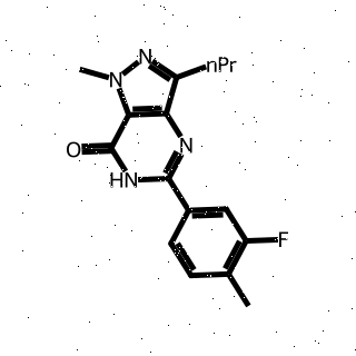 CCCc1nn(C)c2c(=O)[nH]c(-c3ccc(C)c(F)c3)nc12